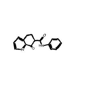 O=C(Nc1ccccc1)C1CCc2cccnc2C1=O